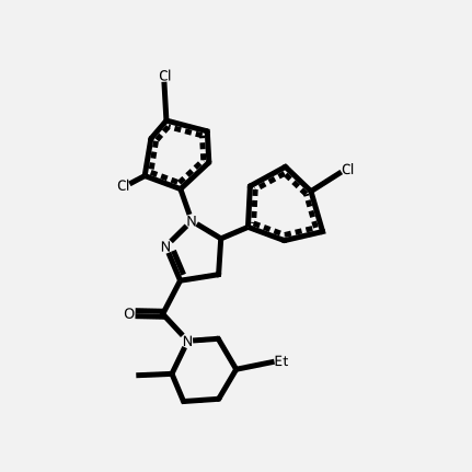 CCC1CCC(C)N(C(=O)C2=NN(c3ccc(Cl)cc3Cl)C(c3ccc(Cl)cc3)C2)C1